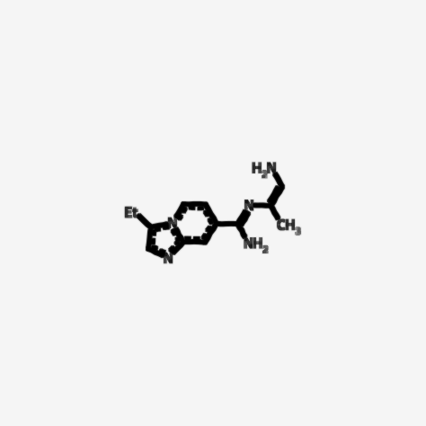 CCc1cnc2cc(/C(N)=N/C(C)=C\N)ccn12